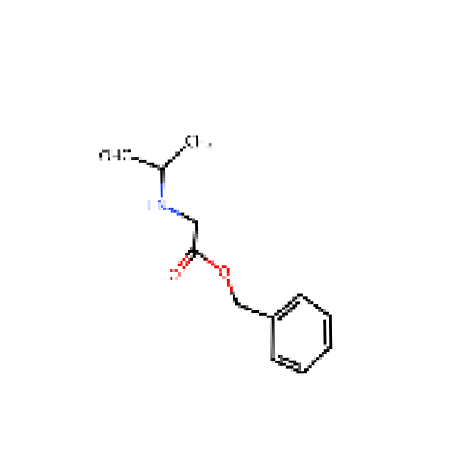 CC(C=O)NCC(=O)OCc1ccccc1